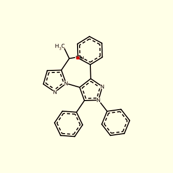 CC(c1ccnn1-c1c(-c2ccccc2)nn(-c2ccccc2)c1-c1ccccc1)C(C)(C)C